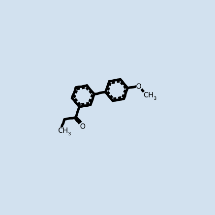 CCC(=O)c1cccc(-c2ccc(OC)cc2)c1